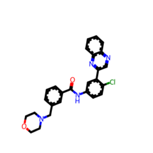 O=C(Nc1ccc(Cl)c(-c2cnc3ccccc3n2)c1)c1cccc(CN2CCOCC2)c1